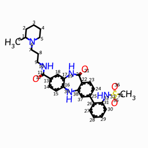 CC1CCCCN1CCCNC(=O)c1ccc2c(c1)NC(=O)c1ccc(-c3ccccc3NS(C)(=O)=O)cc1N2